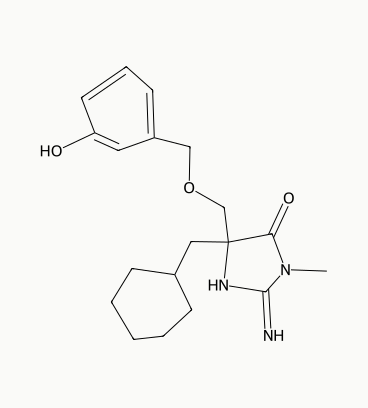 CN1C(=N)NC(COCc2cccc(O)c2)(CC2CCCCC2)C1=O